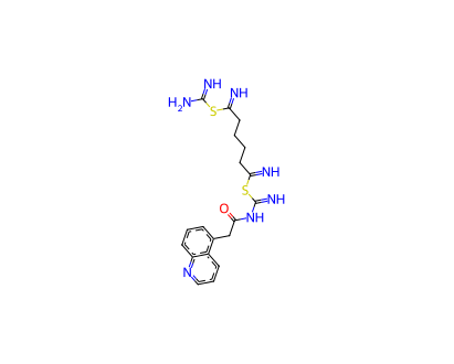 N=C(N)SC(=N)CCCCC(=N)SC(=N)NC(=O)Cc1cccc2ncccc12